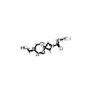 CC(C)(C)OC(=O)N1CC2(C1)OCC(CO)CO2